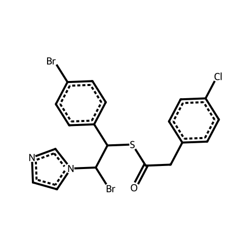 O=C(Cc1ccc(Cl)cc1)SC(c1ccc(Br)cc1)C(Br)n1ccnc1